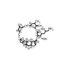 C=C1C[C@@H]2CC[C@@]34CC5O[C@H]6[C@@H](O3)[C@H]3OC(CC[C@@H]3O[C@H]6C5O4)CC(=O)C[C@H]3[C@H](CC4O[C@@H](CCC1O2)C[C@@H](C)C4=C)OC(CC(O)CN)[C@@H]3CO